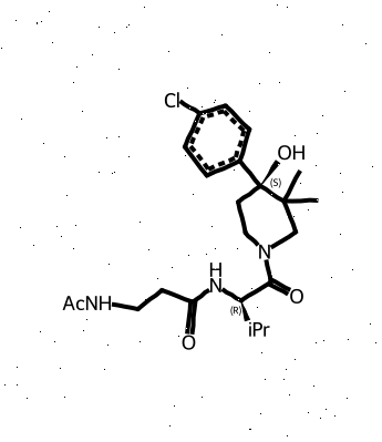 CC(=O)NCCC(=O)N[C@@H](C(=O)N1CC[C@](O)(c2ccc(Cl)cc2)C(C)(C)C1)C(C)C